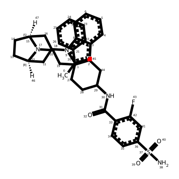 Cc1nc2ccccc2n1C1C[C@H]2CC[C@@H](C1)N2CCC1(c2ccccc2)CCC(NC(=O)c2ccc(S(N)(=O)=O)cc2F)CC1